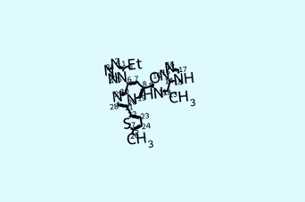 CCc1nnnn1-c1cc(C(=O)NC(C)c2nnc[nH]2)cn2c(-c3ccc(C)s3)cnc12